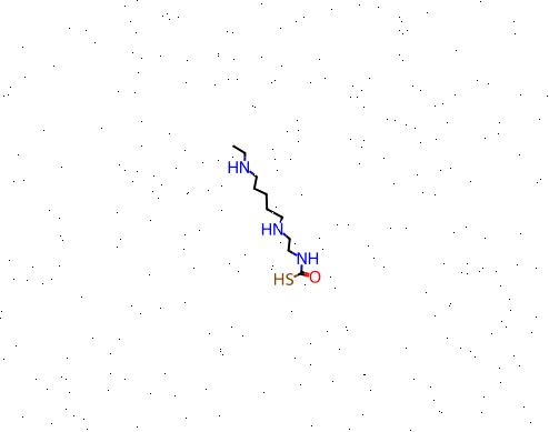 CCNCCCCCNCCNC(=O)S